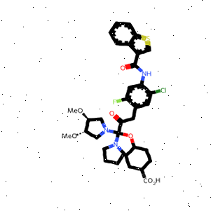 CO[C@H]1CN(C(OC2CCC(C(=O)O)CC2)(C(=O)Cc2cc(Cl)c(NC(=O)c3csc4ccccc34)cc2F)N2CCCC2)C[C@@H]1OC